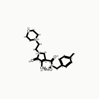 CON(Cc1ccc(C)cc1)C(=O)C1=C(O)C(=O)N(CCN2CCOCC2)C1